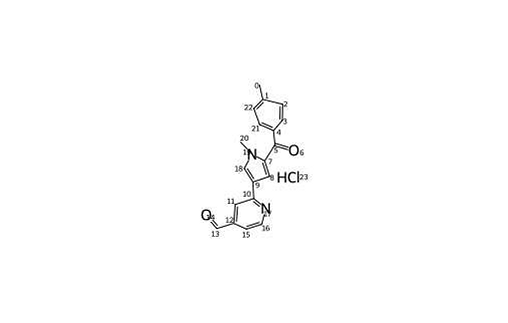 Cc1ccc(C(=O)c2cc(-c3cc(C=O)ccn3)cn2C)cc1.Cl